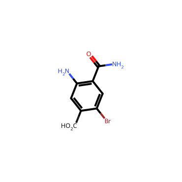 NC(=O)c1cc(Br)c(C(=O)O)cc1N